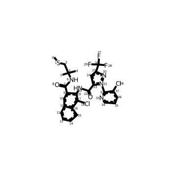 CSCC(C)(C)NC(=O)c1cc2ccccc2c(Cl)c1NC(=O)c1cc(C(F)(F)F)nn1-c1ncccc1Cl